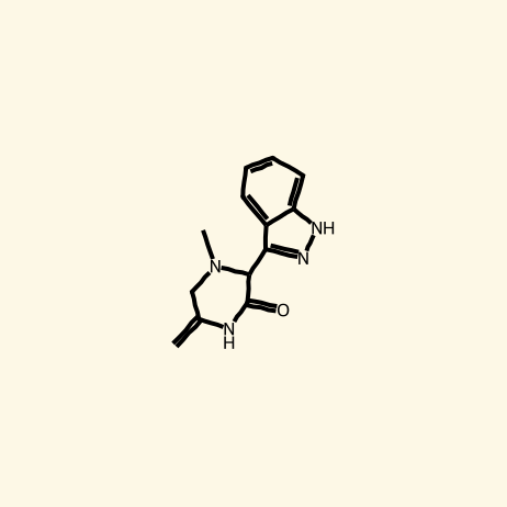 C=C1CN(C)C(c2n[nH]c3ccccc23)C(=O)N1